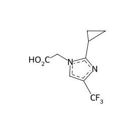 O=C(O)Cn1cc(C(F)(F)F)nc1C1CC1